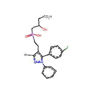 CC(C)c1nn(-c2ccccc2)c(-c2ccc(F)cc2)c1CCP(=O)(O)CC(O)CC(=O)O